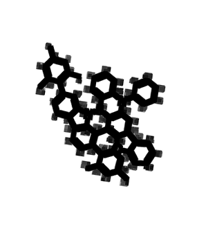 Cc1cc(C)c(-c2ccc3c4ccc(-c5c(C)cc(C)cc5C)c5c4n(c3c2)B2c3ccccc3N(c3ccccc3)c3cc4c(oc6ccccc64)c-5c32)c(C)c1